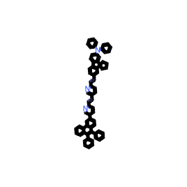 C1=CCCC(c2c(-c3ccccc3)c3ccc(C4C=CC(/C=C/c5ccc(/C=C/c6ccc7c(c6)C6(CCCC6)c6cc(N(c8ccccc8)c8ccccc8)ccc6-7)nc5)=NC4)cc3c3ccccc23)=C1